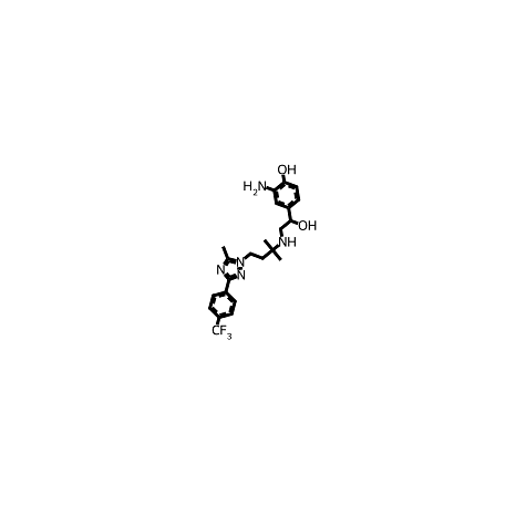 Cc1nc(-c2ccc(C(F)(F)F)cc2)nn1CCC(C)(C)NCC(O)c1ccc(O)c(N)c1